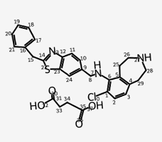 Clc1ccc2c(c1NCc1ccc3nc(Cc4ccccc4)sc3c1)CCNCC2.O=C(O)CCC(=O)O